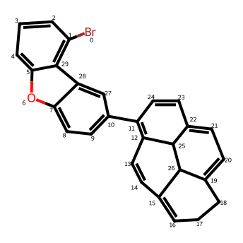 Brc1cccc2oc3ccc(C4=C5C=CC6=CCCC7=CC=C(C=C4)C5C67)cc3c12